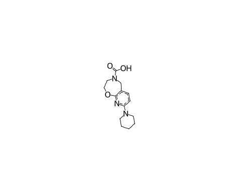 O=C(O)N1CCOc2nc(N3CCCCC3)ccc2C1